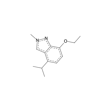 CCOc1ccc(C(C)C)c2cn(C)nc12